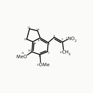 COc1cc(C=C(C)[N+](=O)[O-])c2c(c1OC)CCC2